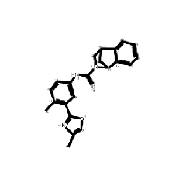 Cc1coc(-c2cc(NC(=O)N3CC4CC3c3ccccc34)ccc2C)n1